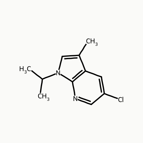 Cc1cn(C(C)C)c2ncc(Cl)cc12